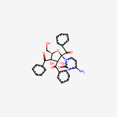 Nc1ccn([C@]2(C(=O)c3ccccc3)O[C@H](CO)[C@](O)(C(=O)c3ccccc3)[C@]2(O)C(=O)c2ccccc2)c(=O)n1